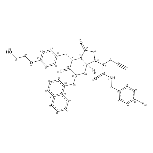 C#CCN(C(=O)NCc1ccc(F)cc1)N1CC(=O)N2[C@@H](Cc3ccc(OCCO)cc3)C(=O)N(Cc3cccc4ccccc34)C[C@@H]21